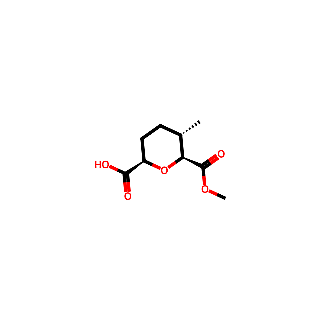 COC(=O)[C@H]1O[C@@H](C(=O)O)CC[C@@H]1C